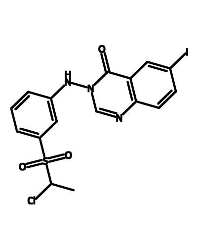 CC(Cl)S(=O)(=O)c1cccc(Nn2cnc3ccc(I)cc3c2=O)c1